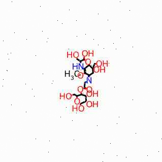 COC1=C(NC(CO)C(=O)O)CC(O)(CO)CC1=NCC(=O)OC1C(CO)OC(O)C(O)C1O